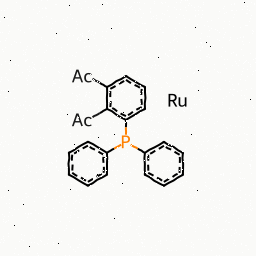 CC(=O)c1cccc(P(c2ccccc2)c2ccccc2)c1C(C)=O.[Ru]